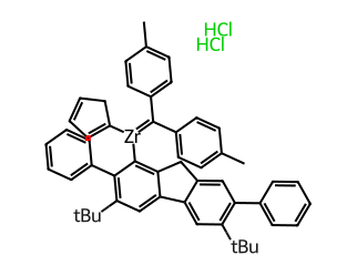 Cc1ccc([C](c2ccc(C)cc2)=[Zr]([C]2=CC=CC2)[c]2c3c(cc(C(C)(C)C)c2-c2ccccc2)-c2cc(C(C)(C)C)c(-c4ccccc4)cc2C3)cc1.Cl.Cl